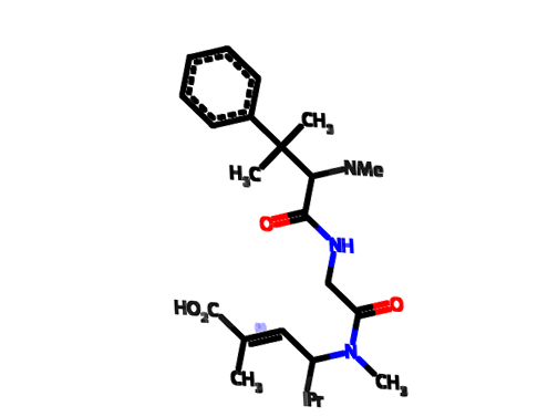 CNC(C(=O)NCC(=O)N(C)C(/C=C(\C)C(=O)O)C(C)C)C(C)(C)c1ccccc1